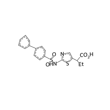 CCC(C(=O)O)c1cnc(NS(=O)(=O)c2ccc(-c3ccccc3)cc2)s1